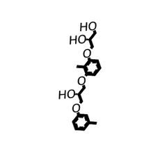 Cc1cccc(OC[C@@H](O)COc2cccc(OC[C@@H](O)CO)c2C)c1